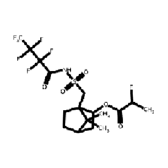 CC(F)C(=O)OC1CC2CCC1(CS(=O)(=O)NC(=O)C(F)(F)C(F)(F)C(F)(F)F)C2(C)C